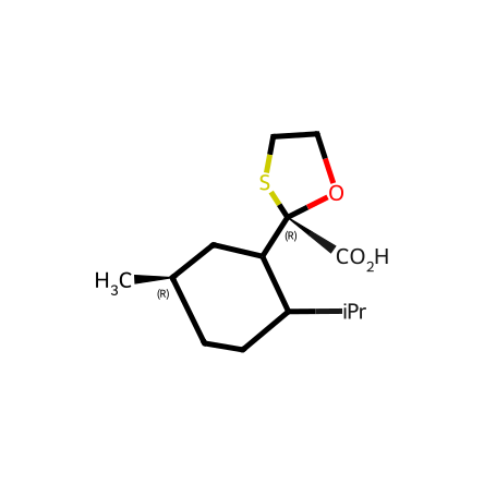 CC(C)C1CC[C@@H](C)CC1[C@@]1(C(=O)O)OCCS1